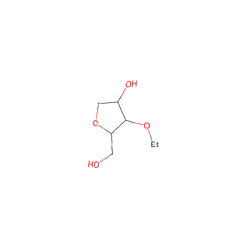 CCOC1C(O)COC1CO